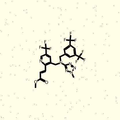 COC(=O)C=Cc1ncc(C(F)(F)F)cc1CN(Cc1cc(C(F)(F)F)cc(C(F)(F)F)c1)c1nnn(C)n1